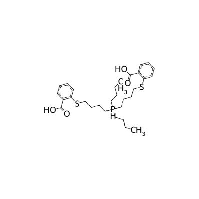 CCCC[PH](CCCC)(CCCCSc1ccccc1C(=O)O)CCCCSc1ccccc1C(=O)O